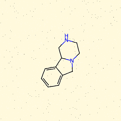 c1ccc2c(c1)CN1CCNCC21